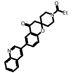 CCC(=O)N1CCC2(CC1)CC(=O)c1cc(-c3cnc4ccccc4c3)ccc1O2